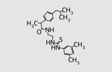 Cc1cc(C)cc(NC(=S)NCCNC(=O)C(C)c2ccc(CC(C)C)cc2)c1